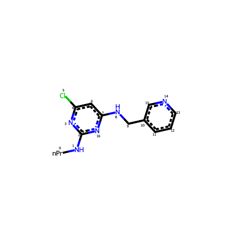 CCCNc1nc(Cl)cc(NCc2cccnc2)n1